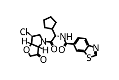 O=C(N[C@H](C(=O)N1C[C@H](Cl)[C@H]2OCC(=O)[C@H]21)C1CCCC1)c1ccc2ncsc2c1